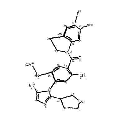 Cc1cc(-n2c(C)cnc2C2CCOC2)c(NC=O)cc1C(=O)N1CCc2cc(F)c(F)cc21